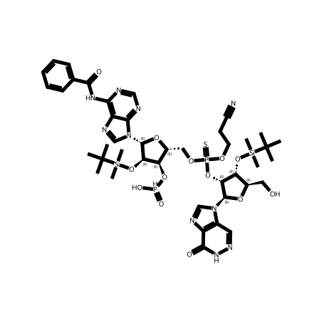 CC(C)(C)[Si](C)(C)O[C@@H]1[C@H](O[PH](=O)O)[C@@H](COP(=S)(OCCC#N)O[C@@H]2[C@H](O[Si](C)(C)C(C)(C)C)[C@@H](CO)O[C@H]2n2cnc3c(=O)[nH]ncc32)O[C@H]1n1cnc2c(NC(=O)c3ccccc3)ncnc21